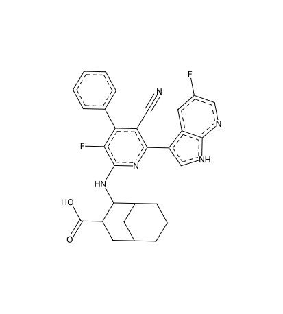 N#Cc1c(-c2c[nH]c3ncc(F)cc23)nc(NC2C3CCCC(C3)CC2C(=O)O)c(F)c1-c1ccccc1